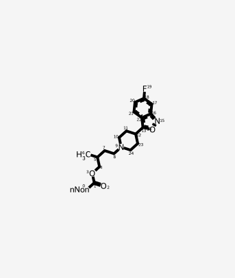 CCCCCCCCCC(=O)OCC(C)CCN1CCC(c2onc3cc(F)ccc23)CC1